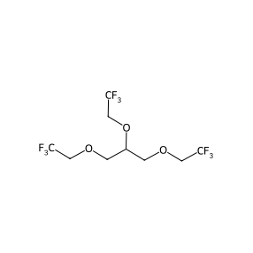 FC(F)(F)COCC(COCC(F)(F)F)OCC(F)(F)F